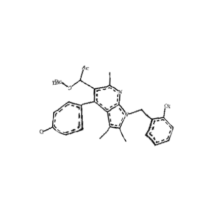 CC(=O)C(OC(C)(C)C)c1c(C)nc2c(c(C)c(C)n2Cc2ccccc2C#N)c1-c1ccc(Cl)cc1